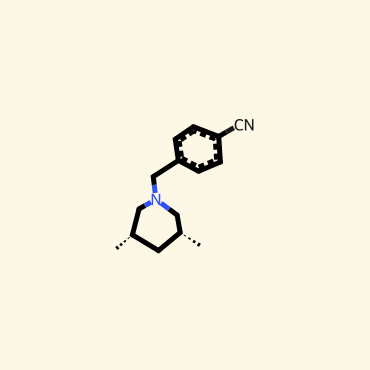 C[C@@H]1C[C@H](C)CN(Cc2ccc(C#N)cc2)C1